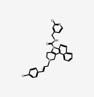 O=C(NCc1ccnc(Cl)c1)n1c2c(c3c4ccccc4ccc31)CN(C/C=C/c1ccc(Cl)cc1)CC2